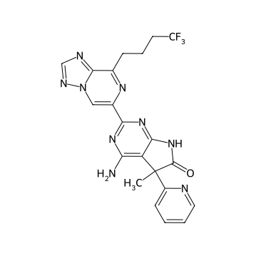 CC1(c2ccccn2)C(=O)Nc2nc(-c3cn4ncnc4c(CCCC(F)(F)F)n3)nc(N)c21